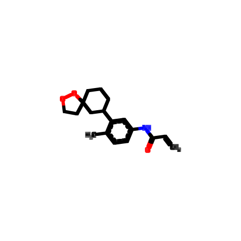 C=CC(=O)Nc1ccc(C)c(C2CCCC3(CCOO3)C2)c1